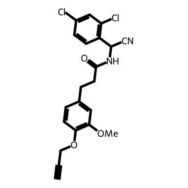 C#CCOc1ccc(CCC(=O)NC(C#N)c2ccc(Cl)cc2Cl)cc1OC